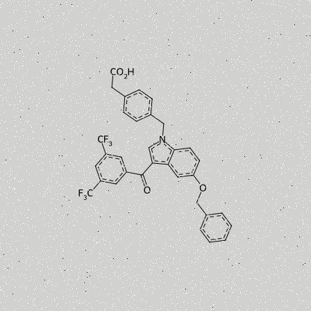 O=C(O)Cc1ccc(Cn2cc(C(=O)c3cc(C(F)(F)F)cc(C(F)(F)F)c3)c3cc(OCc4ccccc4)ccc32)cc1